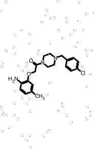 Cc1ccc(N)c(OCC(=O)N2CCN(Cc3ccc(Cl)cc3)CC2)c1